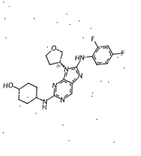 OC1CCC(Nc2ncc3nc(Nc4ccc(F)cc4F)n([C@H]4CCOC4)c3n2)CC1